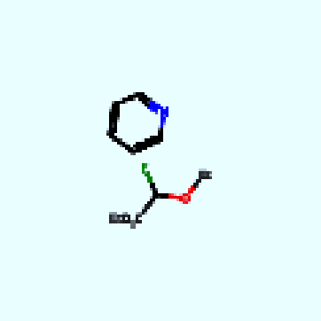 CCOC(=O)C(F)OCC.c1ccncc1